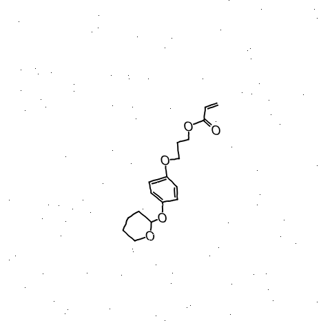 C=CC(=O)OCCCOc1ccc(OC2CCCCO2)cc1